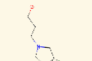 [O]CCCN1CCC(Cl)C1